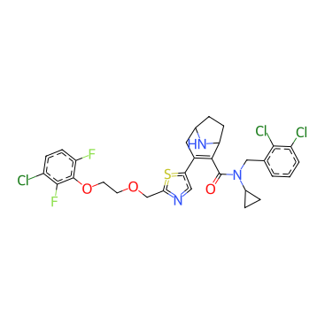 O=C(C1=C(c2cnc(COCCOc3c(F)ccc(Cl)c3F)s2)CC2CCC1N2)N(Cc1cccc(Cl)c1Cl)C1CC1